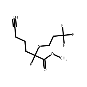 C#CCCCC(F)(SCCC(F)(F)F)C(=O)OC